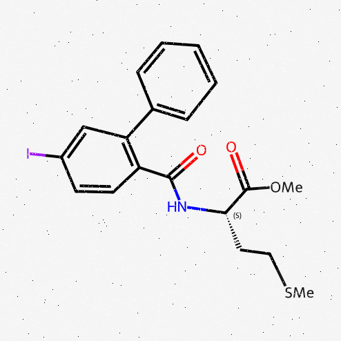 COC(=O)[C@H](CCSC)NC(=O)c1ccc(I)cc1-c1ccccc1